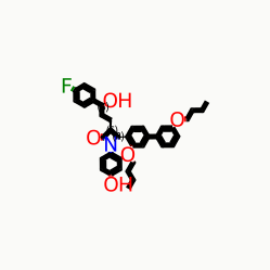 CCCCOc1cccc(-c2ccc([C@H]3[C@H](CC[C@H](O)c4ccc(F)cc4)C(=O)N3c3ccc(O)cc3)c(OCCCC)c2)c1